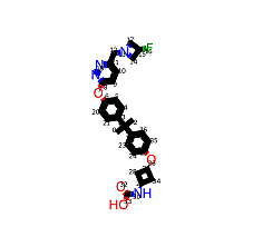 CC(C)(c1ccc(Oc2ccc(CN3CC(F)C3)nn2)cc1)c1ccc(O[C@H]2C[C@H](NC(=O)O)C2)cc1